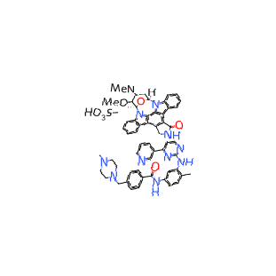 CN[C@H]1C[C@@H]2O[C@](C)([C@H]1OC)n1c3ccccc3c3c4c(c5c6ccccc6n2c5c31)C(=O)NC4.CS(=O)(=O)O.Cc1ccc(NC(=O)c2ccc(CN3CCN(C)CC3)cc2)cc1Nc1nccc(-c2cccnc2)n1